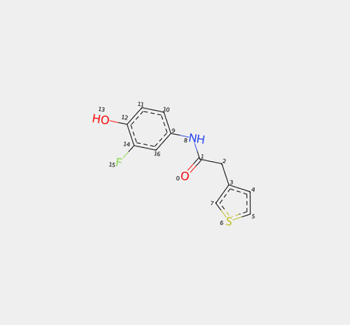 O=C(Cc1ccsc1)Nc1ccc(O)c(F)c1